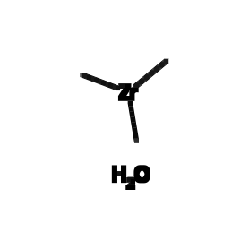 O.[CH3][Zr]([CH3])[CH3]